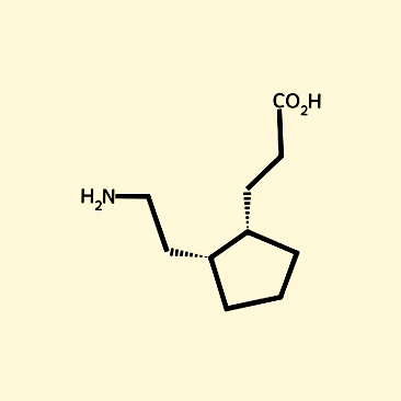 NCC[C@H]1CCC[C@H]1CCC(=O)O